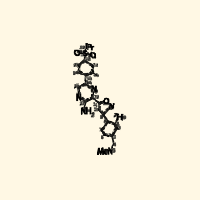 [2H]c1cc(CNC)ccc1-c1cc(-c2nc(-c3ccc(S(=O)(=O)C(C)C)cc3)cnc2N)on1